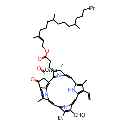 C=Cc1c(C)c2cc3nc(c4c5[nH]c(cc6nc(cc1[nH]2)C(C=O)=C6CC)c(C)c5C(=O)[C@@H]4C(=O)OC)[C@@H](CCC(=O)OC/C=C(\C)CCCC(C)CCCC(C)CCCC(C)C)[C@@H]3C